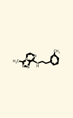 Cc1cccc(CCNc2nccn3c(C)nnc23)c1